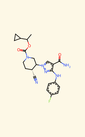 CC(OC(=O)N1CC[C@@H](C#N)C(n2cc(C(N)=O)c(Nc3ccc(F)cc3)n2)C1)C1CC1